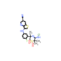 CC1(c2cc(Nc3csc4cc(C#N)cnc34)ccc2F)CS(O)(O)C(C)(C)C(NCl)=N1